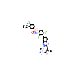 CC(C)(Cc1ncc2cc(-c3c(F)ccc(NS(=O)(=O)c4ccc(Cl)c(C(F)(F)F)c4)c3F)ccc2n1)C(N)=O